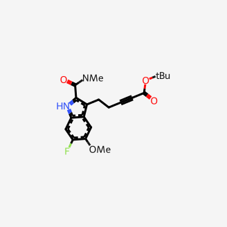 CNC(=O)c1[nH]c2cc(F)c(OC)cc2c1CCC#CC(=O)OC(C)(C)C